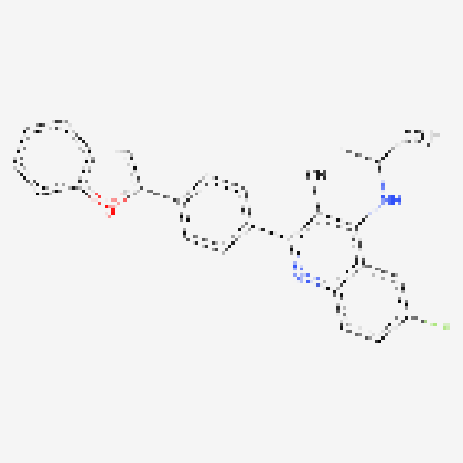 CC(Nc1c(C#N)c(-c2ccc(-c3cc4ccccc4o3)cc2)nc2ccc(F)cc12)C(=O)O